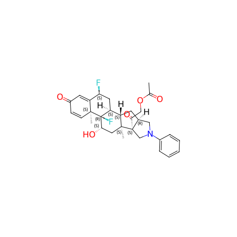 CC(=O)OCC(=O)[C@@]12CN(c3ccccc3)C[C@@H]1C[C@H]1[C@@H]3C[C@H](F)C4=CC(=O)C=C[C@]4(C)[C@@]3(F)[C@@H](O)C[C@@]12C